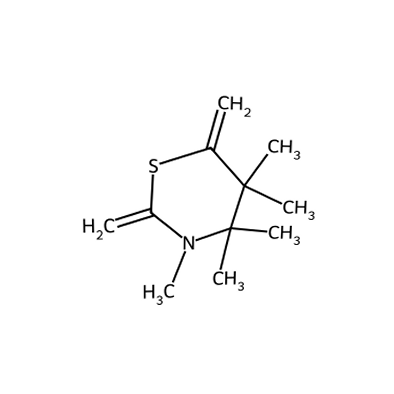 C=C1SC(=C)C(C)(C)C(C)(C)N1C